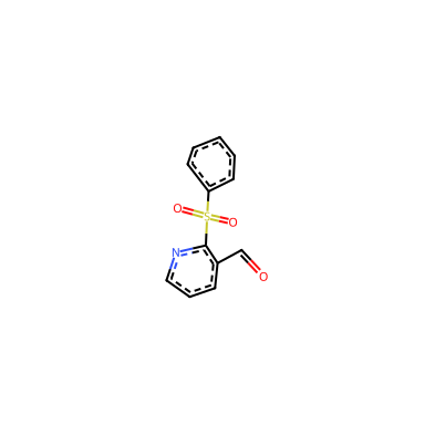 O=Cc1cccnc1S(=O)(=O)c1ccccc1